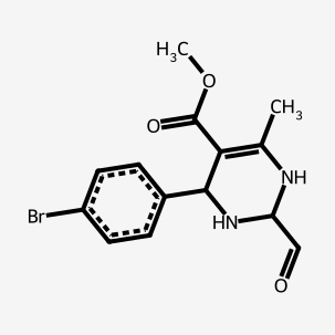 COC(=O)C1=C(C)NC(C=O)NC1c1ccc(Br)cc1